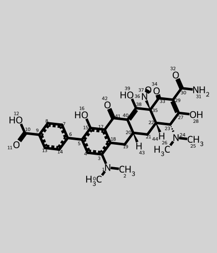 CN(C)c1cc(-c2ccc(C(=O)O)cc2)c(O)c2c1C[C@H]1C[C@H]3[C@@H](N(C)C)C(O)=C(C(N)=O)C(=O)[C@@]3(N=O)C(O)=C1C2=O